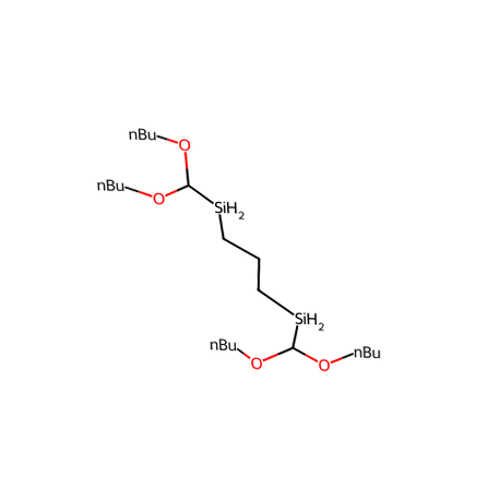 CCCCOC(OCCCC)[SiH2]CCC[SiH2]C(OCCCC)OCCCC